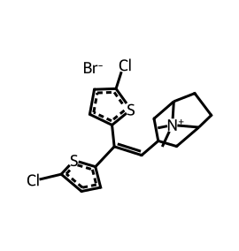 C[N+]1(C)C2CCC1CC(C=C(c1ccc(Cl)s1)c1ccc(Cl)s1)C2.[Br-]